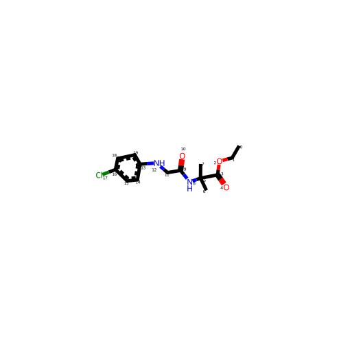 CCOC(=O)C(C)(C)NC(=O)CNc1ccc(Cl)cc1